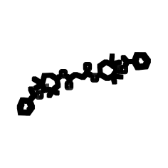 CC(ON1C(C)(C)CCC(OC(=O)CCC(=O)OC2CCC(C)(C)N(OC(C)c3ccccc3)C(C)(C)C2)CC1(C)C)c1ccccc1